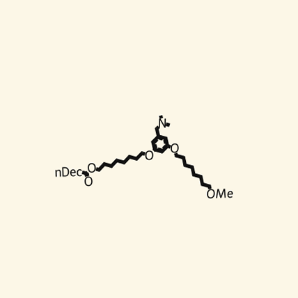 CCCCCCCCCCC(=O)OCCCCCCCCOc1cc(CN(C)C)cc(OCCCCCCCCOC)c1